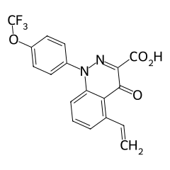 C=Cc1cccc2c1c(=O)c(C(=O)O)nn2-c1ccc(OC(F)(F)F)cc1